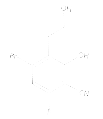 N#Cc1c(F)cc(Br)c(CCO)c1O